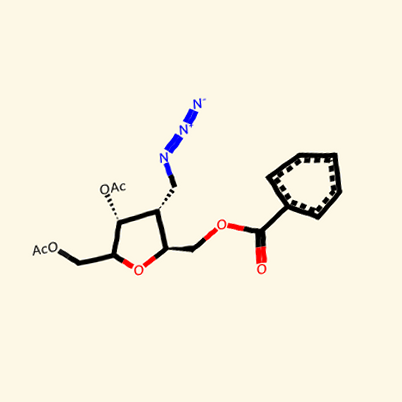 CC(=O)OCC1O[C@H](COC(=O)c2ccccc2)[C@@H](CN=[N+]=[N-])[C@H]1OC(C)=O